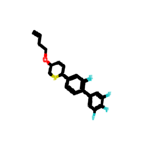 C=CCCOC1CCC(c2ccc(-c3cc(F)c(F)c(F)c3)c(F)c2)SC1